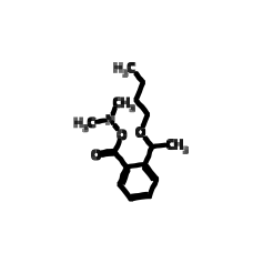 CCCCOC(C)c1ccccc1C(=O)ON(C)C